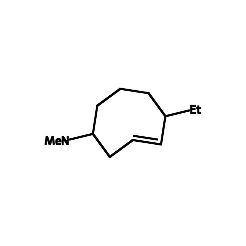 CCC1/C=C/CC(NC)CCC1